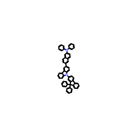 c1ccc(N(c2ccccc2)c2ccc3cc(-c4ccc5c(c4)c4ccccc4n5-c4ccc5c(c4)C(c4ccccc4)(c4ccccc4)c4ccccc4-5)ccc3c2)cc1